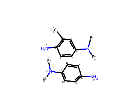 CCN(CC)c1ccc(N)c(C)c1.CCN(CC)c1ccc(N)cc1